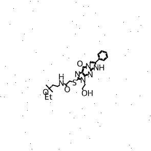 CCOC(C)(C)CCNC(=O)CSc1nc2c(=O)n3cc(-c4ccccc4)[nH]c3nc2n1CCO